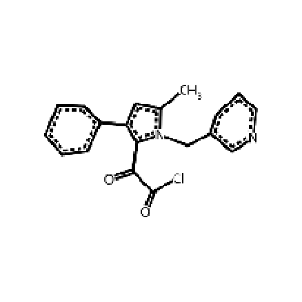 Cc1cc(-c2ccccc2)c(C(=O)C(=O)Cl)n1Cc1cccnc1